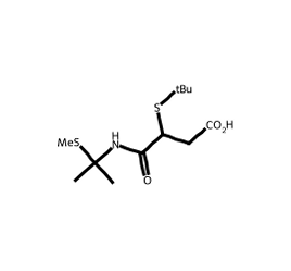 CSC(C)(C)NC(=O)C(CC(=O)O)SC(C)(C)C